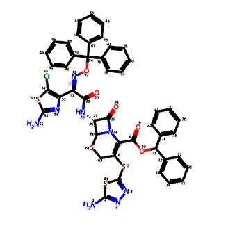 Nc1nnc(SC2=C(C(=O)OC(c3ccccc3)c3ccccc3)N3C(=O)[C@@H](NC(=O)/C(=N\OC(c4ccccc4)(c4ccccc4)c4ccccc4)c4nc(N)sc4Cl)C3SC2)s1